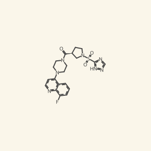 O=C([C@H]1CCN(S(=O)(=O)c2ncn[nH]2)C1)N1CCN(c2ccnc3c(F)cccc23)CC1